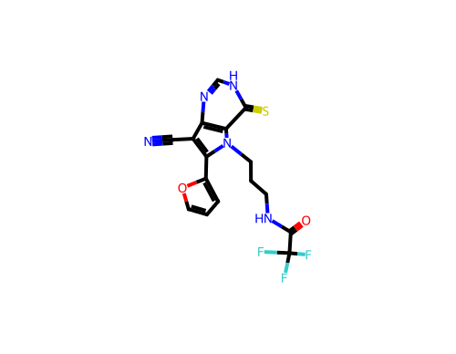 N#Cc1c(-c2ccco2)n(CCCNC(=O)C(F)(F)F)c2c(=S)[nH]cnc12